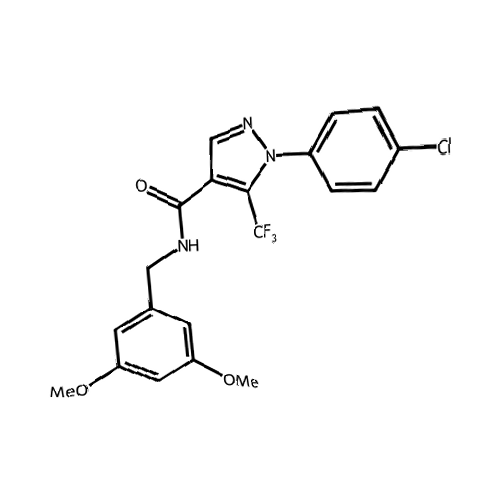 COc1cc(CNC(=O)c2cnn(-c3ccc(Cl)cc3)c2C(F)(F)F)cc(OC)c1